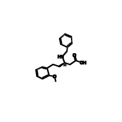 COc1ccccc1CC[C@H](CC(=O)O)NCc1ccccc1